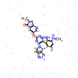 CNc1cc(F)cc2c1[nH]c1nc(Oc3cnc4c(c3)C(=O)N(C)C4)nc(N3C[C@H]4CC3C[C@H]4N)c12